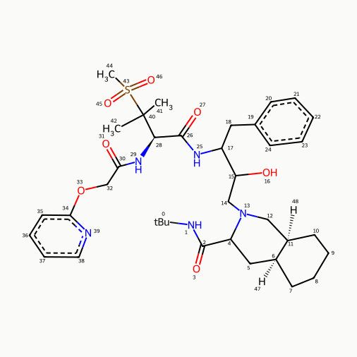 CC(C)(C)NC(=O)C1C[C@@H]2CCCC[C@@H]2CN1CC(O)C(Cc1ccccc1)NC(=O)[C@@H](NC(=O)COc1ccccn1)C(C)(C)S(C)(=O)=O